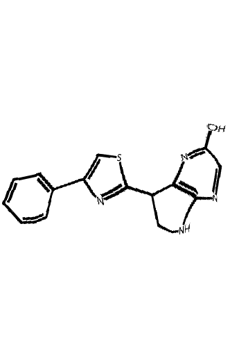 Oc1cnc2c(n1)C(c1nc(-c3ccccc3)cs1)CN2